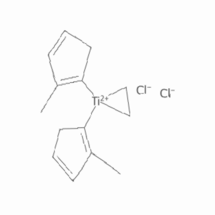 CC1=[C]([Ti+2]2([C]3=C(C)C=CC3)[CH2][CH2]2)CC=C1.[Cl-].[Cl-]